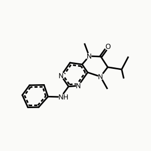 CC(C)C1C(=O)N(C)c2cnc(Nc3ccccc3)nc2N1C